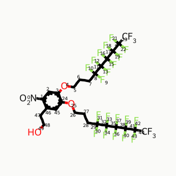 O=[N+]([O-])c1cc(OCCCC(F)(F)C(F)(F)C(F)(F)C(F)(F)C(F)(F)C(F)(F)F)c(OCCCC(F)(F)C(F)(F)C(F)(F)C(F)(F)C(F)(F)C(F)(F)F)cc1CCO